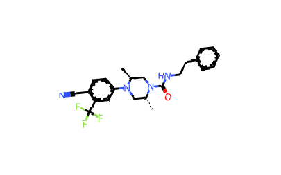 C[C@@H]1CN(c2ccc(C#N)c(C(F)(F)F)c2)[C@@H](C)CN1C(=O)NCCc1ccccc1